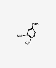 CNc1cc([C]=O)ccc1[N+](=O)[O-]